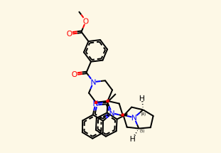 COC(=O)c1cccc(C(=O)N2CCC(CCN3[C@@H]4CC[C@H]3CC(n3c(C)nc5ccccc53)C4)(c3ccccc3C)CC2)c1